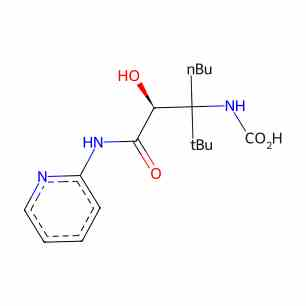 CCCCC(NC(=O)O)([C@H](O)C(=O)Nc1ccccn1)C(C)(C)C